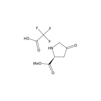 COC(=O)[C@@H]1CC(=O)CN1.O=C(O)C(F)(F)F